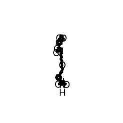 CC1(C)OCc2cc([C@@H]3CN(CCCCCCOCCC#Cc4cccc(N5CC(=O)NC5=O)c4)C(=O)O3)ccc2O1